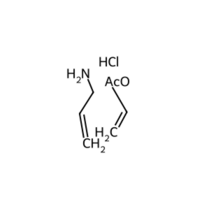 C=CCN.C=COC(C)=O.Cl